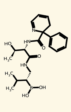 CC(C)[C@H](CNC(=O)[C@@H](NC(=O)C1(c2ccccc2)CC=CC=N1)[C@@H](C)O)B(O)O